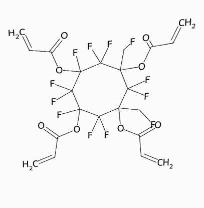 C=CC(=O)OC1(F)C(F)(F)C(F)(OC(=O)C=C)C(F)(F)C(CF)(OC(=O)C=C)C(F)(F)C(CF)(OC(=O)C=C)C1(F)F